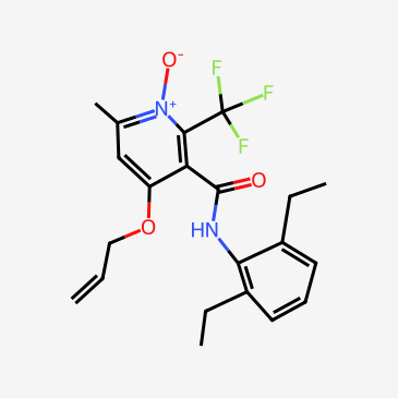 C=CCOc1cc(C)[n+]([O-])c(C(F)(F)F)c1C(=O)Nc1c(CC)cccc1CC